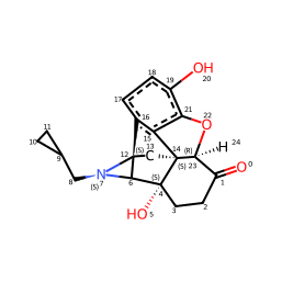 O=C1CC[C@@]2(O)C3[N@@](CC4CC4)[C@]34C[C@@]23c2c4ccc(O)c2O[C@@H]13